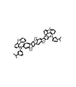 CC(C)c1cccc(N(c2ccc3c(c2)oc2cc4c(cc23)oc2cc3c(cc24)oc2cc(N(c4cccc(C(C)C)c4)c4cccc5sc6ccccc6c45)ccc23)c2cccc3sc4ccccc4c23)c1